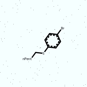 CCCCCCSc1ccc(Br)cc1